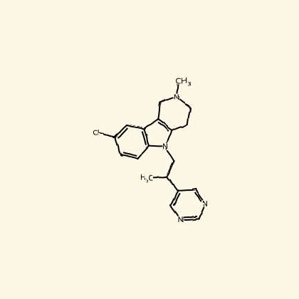 CC(Cn1c2c(c3cc(Cl)ccc31)CN(C)CC2)c1cncnc1